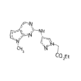 CCOC(=O)Cn1cc(Nc2ncc3ccn(C)c3n2)cn1